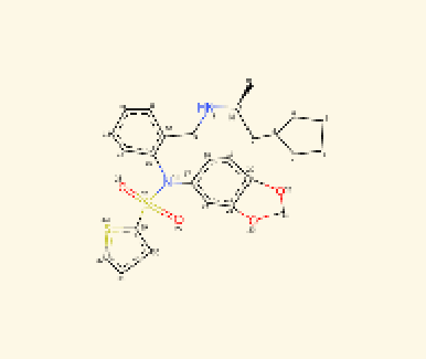 C[C@@H](CC1CCCC1)NCc1ccccc1N(c1ccc2c(c1)OCO2)S(=O)(=O)c1cccs1